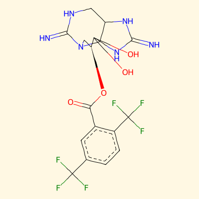 N=C1NC2CNC(=N)N3C[C@H](OC(=O)c4cc(C(F)(F)F)ccc4C(F)(F)F)C(O)(O)C23N1